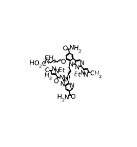 CCn1nc(C)cc1C(=O)Nc1nc2cc(C(N)=O)cnc2n1C/C=C/Cn1c2nc(-c3cc(C)nn3CC)ncc2c2cc(C(N)=O)cc(OCCCCN(C)C(=O)O)c21